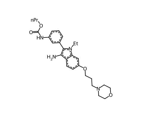 CCCOC(=O)Nc1cccc(-c2c(N)c3ccc(OCCCN4CCOCC4)cc3n2CC)c1